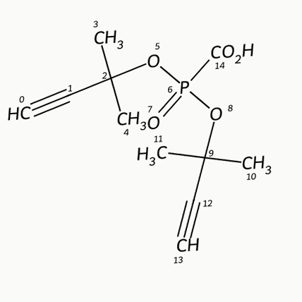 C#CC(C)(C)OP(=O)(OC(C)(C)C#C)C(=O)O